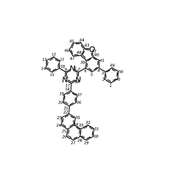 c1ccc(-c2cc(-c3nc(-c4ccccc4)nc(-c4ccc(-c5ccc6ccc7ccccc7c6c5)cc4)n3)c3c(c2)oc2ccccc23)cc1